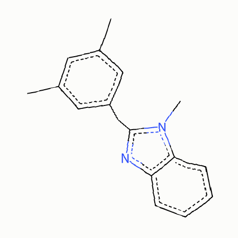 Cc1cc(C)cc(-c2nc3ccccc3n2C)c1